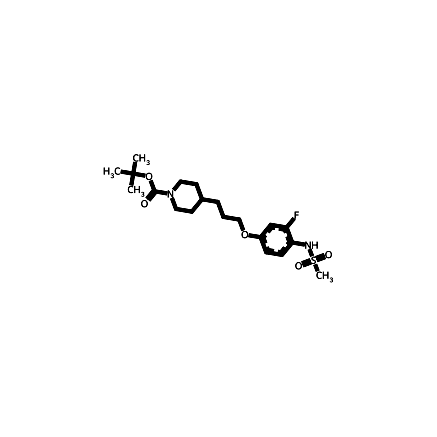 CC(C)(C)OC(=O)N1CCC(CCCOc2ccc(NS(C)(=O)=O)c(F)c2)CC1